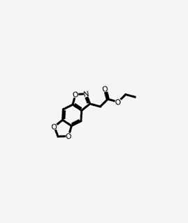 CCOC(=O)Cc1noc2cc3c(cc12)OCO3